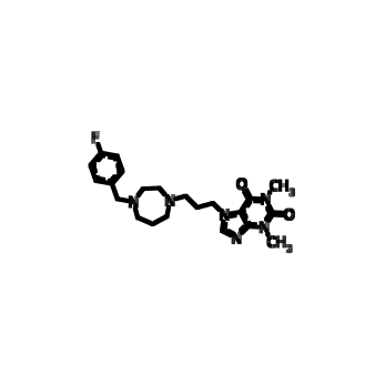 Cn1c(=O)c2c(ncn2CCCN2CCCN(Cc3ccc(F)cc3)CC2)n(C)c1=O